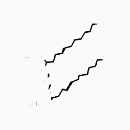 CCCCCCCC(CCC=CCCCCCCBr)OCOCOC(CCC=CCCCCCCBr)CCCCCCC